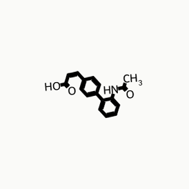 CC(=O)Nc1ccccc1-c1ccc(/C=C\C(=O)O)cc1